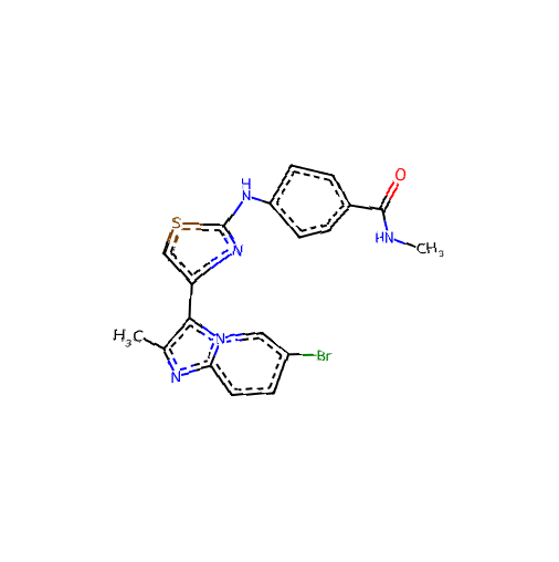 CNC(=O)c1ccc(Nc2nc(-c3c(C)nc4ccc(Br)cn34)cs2)cc1